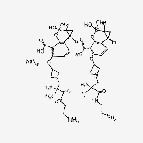 C[C@@](N)(CN1CC(Oc2ccc3c(c2C(=O)O)O[B-](O)(O)[C@@H]2C[C@H]32)C1)C(=O)NCCN.C[C@@](N)(CN1CC(Oc2ccc3c(c2C(=O)O)O[B-](O)(O)[C@@H]2C[C@H]32)C1)C(=O)NCCN.[Na+].[Na+]